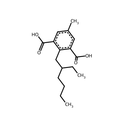 CCCCC(CC)Cc1c(C(=O)O)cc(C)cc1C(=O)O